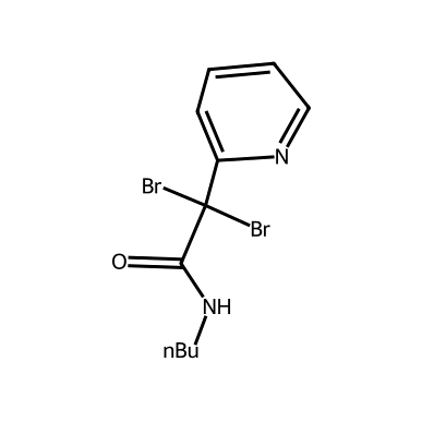 CCCCNC(=O)C(Br)(Br)c1ccccn1